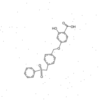 O=C(O)c1ccc(OCc2ccc(CS(=O)(=O)c3ccccc3)cc2)cc1O